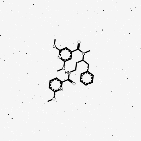 COc1cc(C(=O)N(C)C(CCNC(=O)c2cccc(OC)n2)Cc2ccccc2)cc(OC)n1